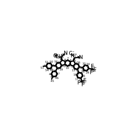 [C-]#[N+]/C(C#N)=C1\c2cc3c(cc2-c2cc(-c4ccc(C(F)(F)F)cc4)c(-c4ccc(C(F)(F)F)cc4)cc21)-c1cc(-c2ccc(C)cc2)c(-c2ccc(C)cc2)cc1/C3=C(/C#N)[N+]#[C-]